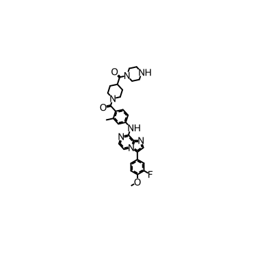 COc1ccc(-c2cnc3c(Nc4ccc(C(=O)N5CCC(C(=O)N6CCNCC6)CC5)c(C)c4)nccn23)cc1F